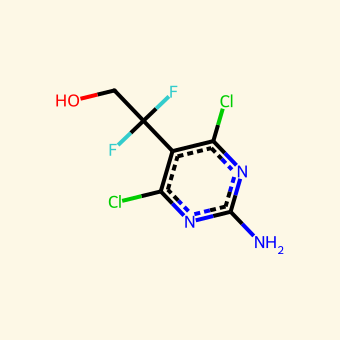 Nc1nc(Cl)c(C(F)(F)CO)c(Cl)n1